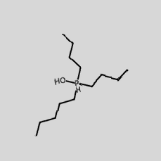 CCCCC[PH](O)(CCCC)CCCC